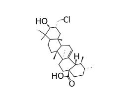 C[C@H]1[C@H](C)CC[C@]2(C(=O)O)CC[C@]3(C)C(=CCC4[C@@]5(C)C[C@@H](CCl)[C@H](O)C(C)(C)C5CC[C@]43C)[C@H]12